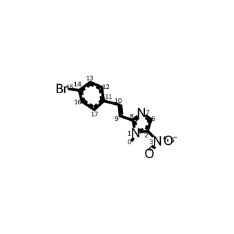 Cn1c([N+](=O)[O-])cnc1/C=C/c1ccc(Br)cc1